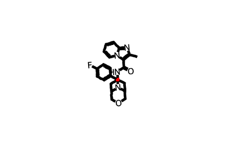 Cc1nc2ccccn2c1C(=O)NC1CC2COCC(C1)N2Cc1ccc(F)cc1